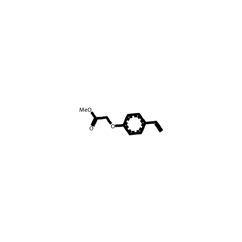 C=Cc1ccc(OCC(=O)OC)cc1